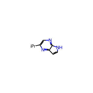 CC(C)c1cnc2[nH]ccc2n1